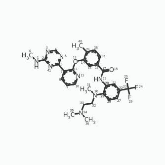 CNc1ncnc(-c2cccnc2Oc2cc(C(=O)Nc3cc(C(F)(F)F)ccc3N(C)CCN(C)C)ccc2C)n1